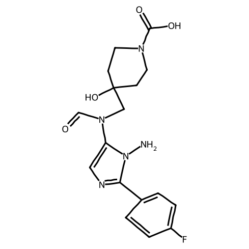 Nn1c(N(C=O)CC2(O)CCN(C(=O)O)CC2)cnc1-c1ccc(F)cc1